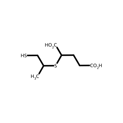 CC(CS)SC(CCC(=O)O)C(=O)O